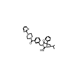 CC(C)CCC1(c2ccccc2)NC(=N)N(Cc2cccc(C(=O)N3CCN(c4ncccn4)CC3)c2)C1=O